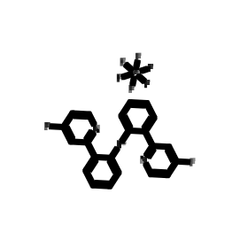 F[P-](F)(F)(F)(F)F.Fc1ccnc(-c2cccc[c]2[Ir+][c]2ccccc2-c2cc(F)ccn2)c1